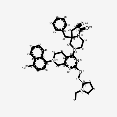 CCN1CCC[C@H]1COc1nc2c(c(N3CCN(C(=O)O)C(CC#N)(Cc4ccccc4)C3)n1)CCN(c1ccc(F)c3ccccc13)C2